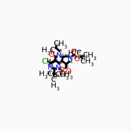 COC(=O)C1CC(N(CC(C)C)C(=O)c2cnc(C(C)(C)C)nc2Cl)CN(C(=O)OC(C)(C)C)C1